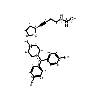 ONNCCC#C[C@@H]1CC[C@@H](CN2CCN(C(c3ccc(F)cc3)c3ccc(F)cc3)CC2)O1